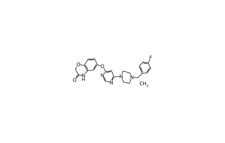 C[C@@H](c1ccc(F)cc1)N1CCN(c2cc(Oc3ccc4c(c3)NC(=O)CO4)ncn2)CC1